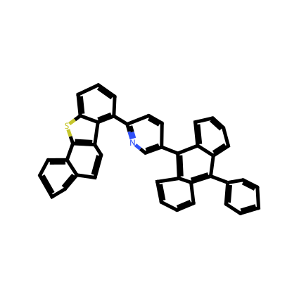 c1ccc(-c2c3ccccc3c(-c3ccc(-c4cccc5sc6c7ccccc7ccc6c45)nc3)c3ccccc23)cc1